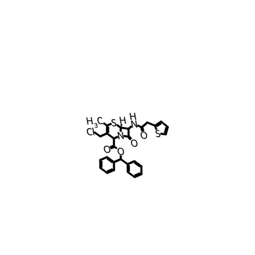 CC1=C(CCl)C(C(=O)OC(c2ccccc2)c2ccccc2)N2C(=O)C(NC(=O)Cc3cccs3)[C@H]2S1